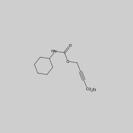 CCOC(=O)C#CCOC(=O)NC1CCCCC1